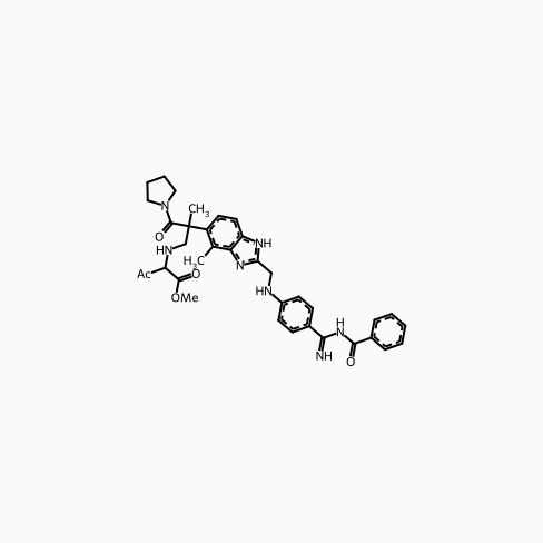 COC(=O)C(NCC(C)(C(=O)N1CCCC1)c1ccc2[nH]c(CNc3ccc(C(=N)NC(=O)c4ccccc4)cc3)nc2c1C)C(C)=O